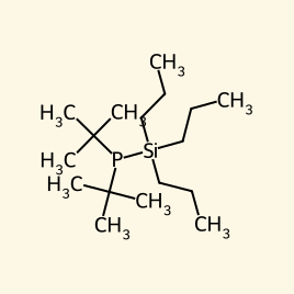 CCC[Si](CCC)(CCC)P(C(C)(C)C)C(C)(C)C